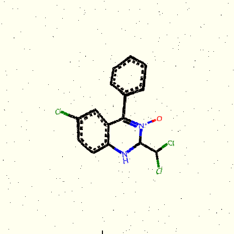 [O-][N+]1=C(c2ccccc2)c2cc(Cl)ccc2NC1C(Cl)Cl